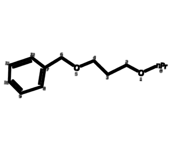 CCCOCCCOCc1ccccc1